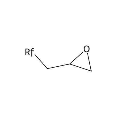 [Rf][CH2]C1CO1